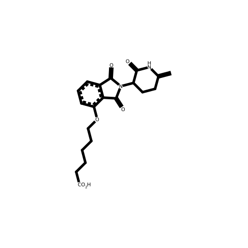 C=C1CCC(N2C(=O)c3cccc(OCCCCCC(=O)O)c3C2=O)C(=O)N1